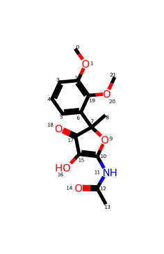 COc1cccc(C2(C)OC(NC(C)=O)=C(O)C2=O)c1OC